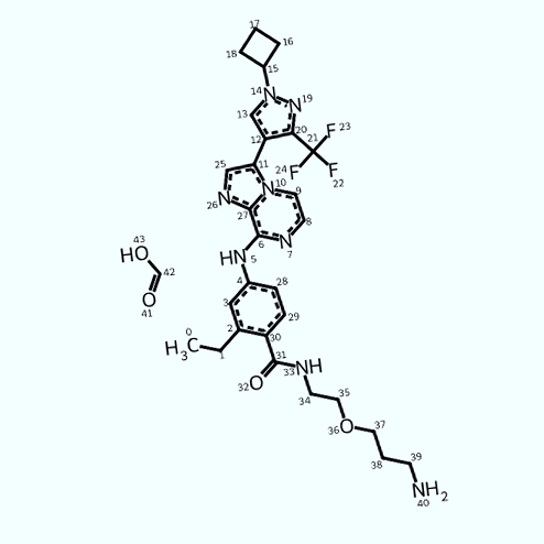 CCc1cc(Nc2nccn3c(-c4cn(C5CCC5)nc4C(F)(F)F)cnc23)ccc1C(=O)NCCOCCCN.O=CO